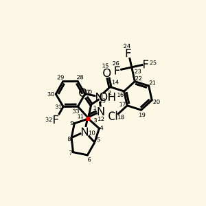 O=C(O)C1CC2CCC(C1)N2c1nn(C(=O)c2c(Cl)cccc2C(F)(F)F)c2cccc(F)c12